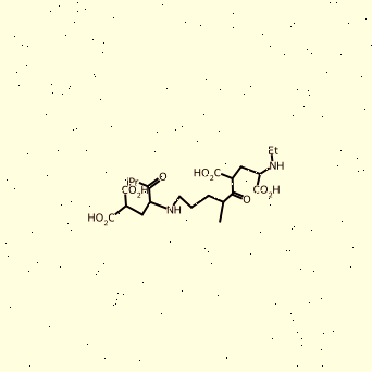 CCNC(CC(C(=O)O)C(=O)C(C)CCCNC(CC(C(=O)O)C(=O)O)C(=O)C(C)C)C(=O)O